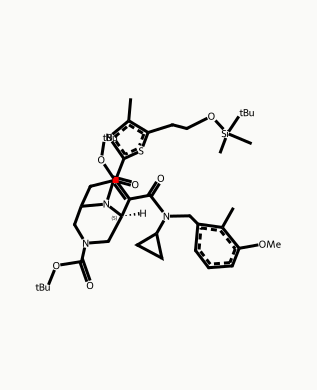 COc1cccc(CN(C(=O)C2=C(c3nc(C)c(CCO[Si](C)(C)C(C)(C)C)s3)CC3CN(C(=O)OC(C)(C)C)C[C@H]2N3C(=O)OC(C)(C)C)C2CC2)c1C